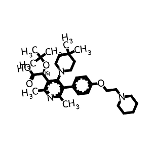 Cc1nc(C)c([C@H](OC(C)(C)C)C(=O)O)c(N2CCC(C)(C)CC2)c1-c1ccc(OCCN2CCCCC2)cc1